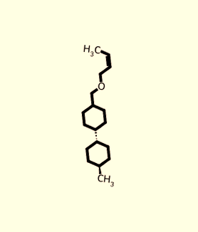 C/C=C\COCC1CCC([C@H]2CC[C@H](C)CC2)CC1